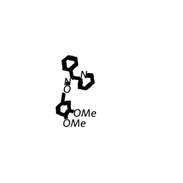 COc1ccc(CON=C(c2ccccc2)c2ccccn2)cc1OC